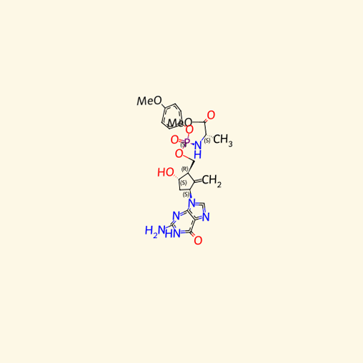 C=C1[C@H](CO[P@@](=O)(N[C@@H](C)C(=O)OC)Oc2ccc(OC)cc2)[C@@H](O)C[C@@H]1n1cnc2c(=O)[nH]c(N)nc21